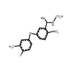 Cc1cc(Oc2ccc([N+](=O)[O-])c(C(NC(=O)O)C(C)(C)C)c2)ccc1F